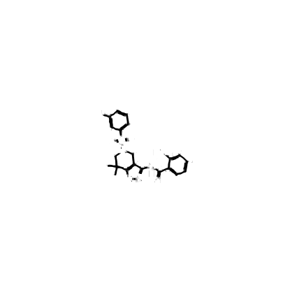 CC1(C)CN(S(=O)(=O)c2cccc(F)c2)Cc2c(NC(=O)c3ccccc3N)n[nH]c21